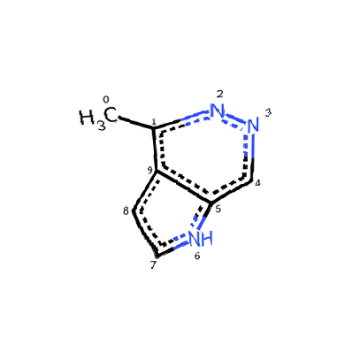 Cc1nncc2[nH]ccc12